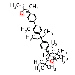 CCC(CC)(c1ccc(CCC(O[Si](C)(C)C(C)(C)C)C(C)(C)C)c(C)c1)c1ccc(-c2ccc([C@@H](C)C(=O)OC)cc2)c(C)c1